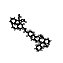 CC1(C)c2cccc3ccc4cc(/C=C/c5ccc6c(c5)sc5cc(N(c7ccccc7C#N)c7ccccc7C#N)ccc56)cc1c4c23